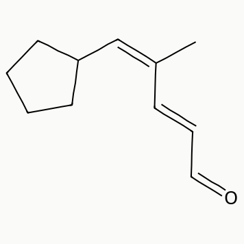 CC(C=CC=O)=CC1CCCC1